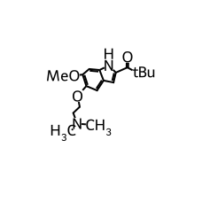 COc1cc2[nH]c(C(=O)C(C)(C)C)cc2cc1OCCN(C)C